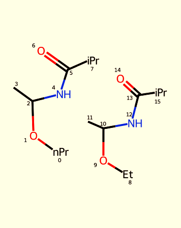 CCCOC(C)NC(=O)C(C)C.CCOC(C)NC(=O)C(C)C